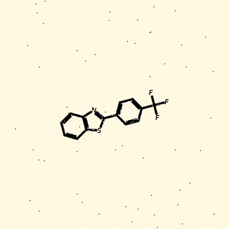 FC(F)(F)c1ccc(-c2nc3[c]cccc3s2)cc1